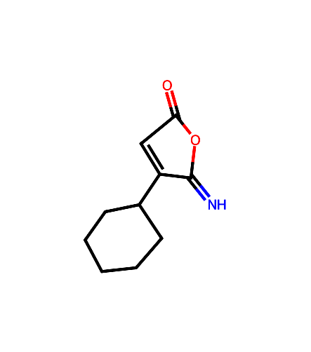 N=C1OC(=O)C=C1C1CCCCC1